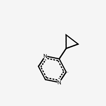 [c]1nccnc1C1CC1